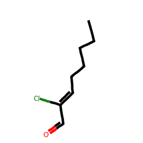 CCCCCC=C(Cl)C=O